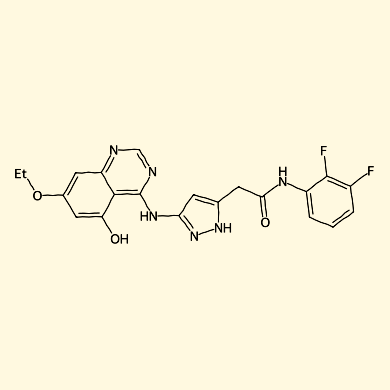 CCOc1cc(O)c2c(Nc3cc(CC(=O)Nc4cccc(F)c4F)[nH]n3)ncnc2c1